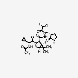 CC1(C)[C@@H]2[C@@H](C(=O)NN(C[C@@H]3CCNC3=O)C(=O)[C@H](F)Cl)N(C(=O)[C@@H](NC(=O)C(F)(F)F)C3CC3)C[C@@H]21